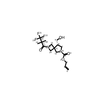 C=CCOC(=O)N1C[C@@H](CO)C2(C1)CN(C(=O)C(C)(C)C(F)(F)F)C2